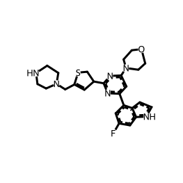 Fc1cc(-c2cc(N3CCOCC3)nc(C3C=C(CN4CCNCC4)SC3)n2)c2cc[nH]c2c1